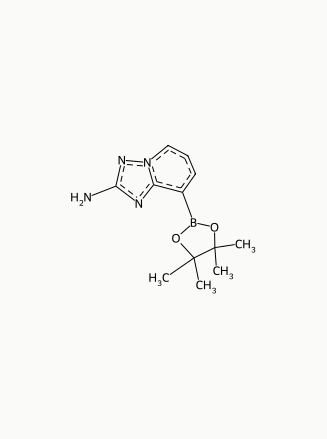 CC1(C)OB(c2cccn3nc(N)nc23)OC1(C)C